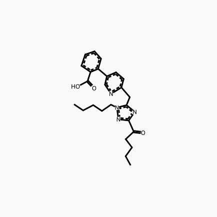 CCCCCn1nc(C(=O)CCCC)nc1Cc1ccc(-c2ccccc2C(=O)O)cn1